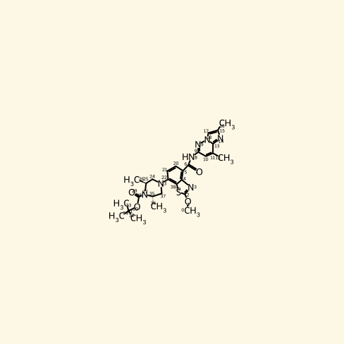 COc1nc2c(C(=O)Nc3cc(C)c4nc(C)cn4n3)ccc(N3C[C@H](C)N(C(=O)OC(C)(C)C)[C@@H](C)C3)c2s1